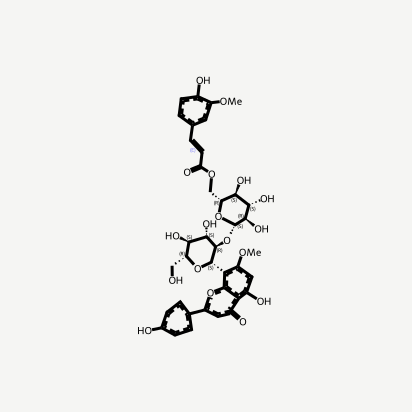 COc1cc(/C=C/C(=O)OC[C@H]2O[C@@H](O[C@@H]3[C@@H](O)[C@H](O)[C@@H](CO)O[C@H]3c3c(OC)cc(O)c4c(=O)cc(-c5ccc(O)cc5)oc34)[C@H](O)[C@@H](O)[C@@H]2O)ccc1O